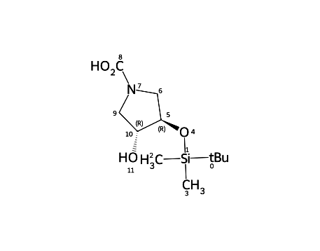 CC(C)(C)[Si](C)(C)O[C@@H]1CN(C(=O)O)C[C@H]1O